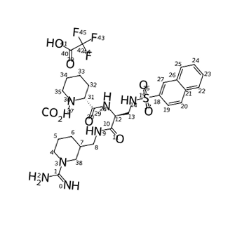 N=C(N)N1CCCC(CNC(=O)[C@H](CNS(=O)(=O)c2ccc3ccccc3c2)NC(=O)[C@H]2CCCCN2C(=O)O)C1.O=C(O)C(F)(F)F